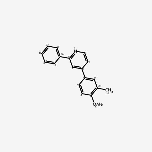 COc1ccc(-c2ccnc(-c3ccccc3)c2)cc1C